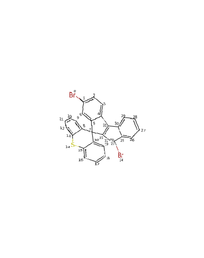 Brc1ccc2c(c1)C1(c3ccccc3Sc3ccccc31)c1cc(Br)c3ccccc3c1-2